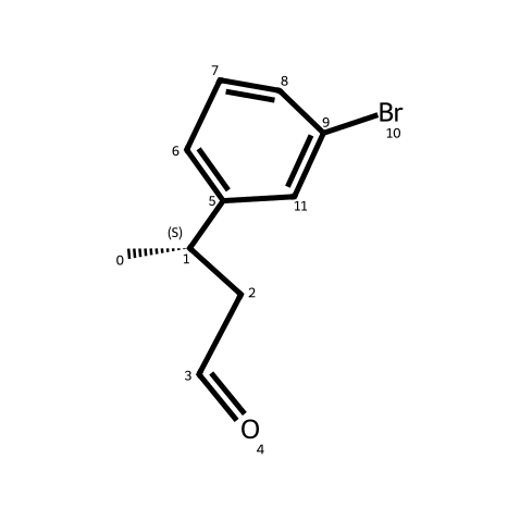 C[C@@H](CC=O)c1cccc(Br)c1